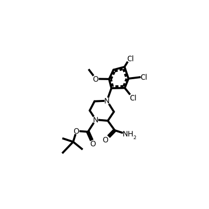 COc1cc(Cl)c(Cl)c(Cl)c1N1CCN(C(=O)OC(C)(C)C)C(C(N)=O)C1